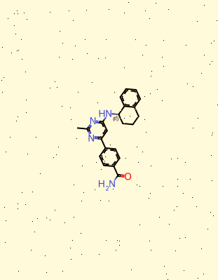 Cc1nc(N[C@@H]2CCCc3ccccc32)cc(-c2ccc(C(N)=O)cc2)n1